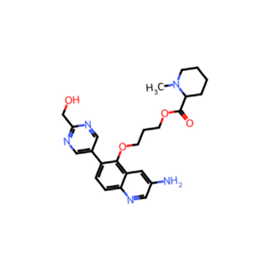 CN1CCCCC1C(=O)OCCCOc1c(-c2cnc(CO)nc2)ccc2ncc(N)cc12